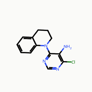 Nc1c(Cl)ncnc1N1CCCc2ccccc21